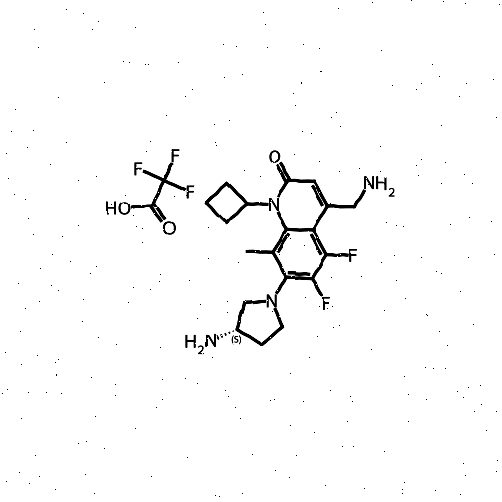 Cc1c(N2CC[C@H](N)C2)c(F)c(F)c2c(CN)cc(=O)n(C3CCC3)c12.O=C(O)C(F)(F)F